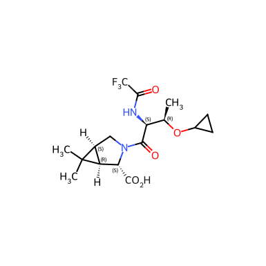 C[C@@H](OC1CC1)[C@H](NC(=O)C(F)(F)F)C(=O)N1C[C@H]2[C@@H]([C@H]1C(=O)O)C2(C)C